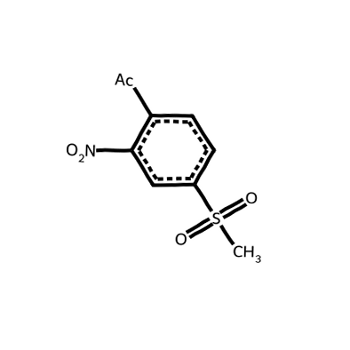 CC(=O)c1ccc(S(C)(=O)=O)cc1[N+](=O)[O-]